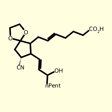 CCCCCC(O)/C=C/C1C(C/C=C/CCCC(=O)O)C2(C[C@H]1C#N)OCCO2